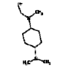 CC(C)CN(C)C1CCC(N(C)C)CC1